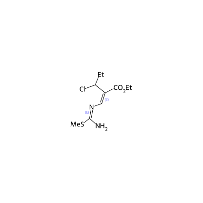 CCOC(=O)/C(=C/N=C(\N)SC)C(Cl)CC